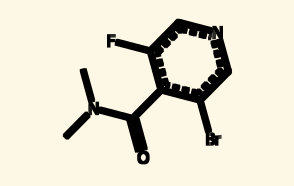 CN(C)C(=O)c1c(F)cncc1Br